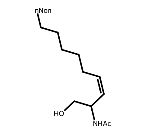 CCCCCCCCCCCCCC/C=C\C(CO)NC(C)=O